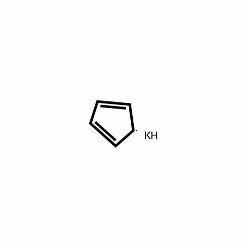 [CH]1C=CC=C1.[KH]